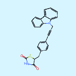 O=C1NC(=O)C(Cc2ccc(C#CCn3c4ccccc4c4ccccc43)cc2)S1